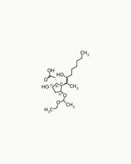 CCCCCCC(O)=C(C)[C@@H]1[C@@H](CC(=O)O)[C@@H](O)C[C@@H]1OC(C)OCC